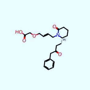 O=C(O)COCC=CCN1C(=O)CCC[C@@H]1CCC(=O)Cc1ccccc1